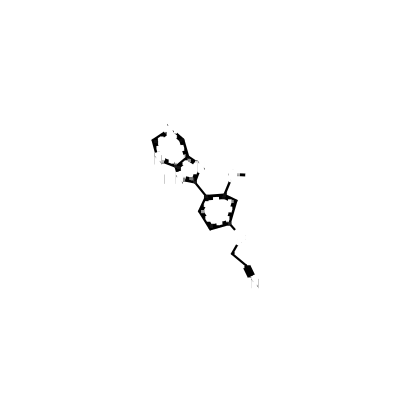 COc1cc(OCC#N)ccc1-c1nc2cncnc2[nH]1